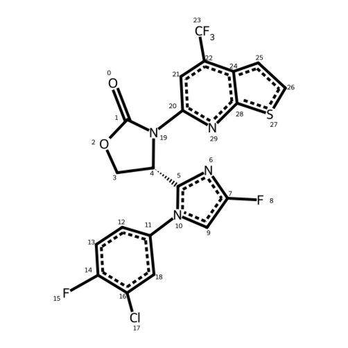 O=C1OC[C@@H](c2nc(F)cn2-c2ccc(F)c(Cl)c2)N1c1cc(C(F)(F)F)c2ccsc2n1